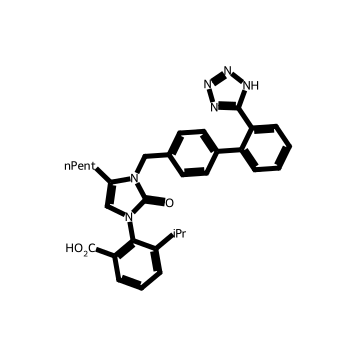 CCCCCc1cn(-c2c(C(=O)O)cccc2C(C)C)c(=O)n1Cc1ccc(-c2ccccc2-c2nnn[nH]2)cc1